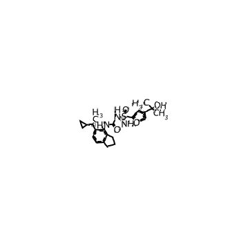 C[C@H](c1ccc2c(c1NC(=O)N[S@@](=N)(=O)c1cc(C(C)(C)O)co1)CCC2)C1CC1